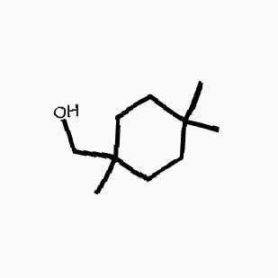 CC1(C)CCC(C)(CO)CC1